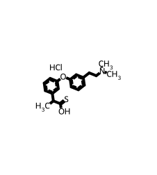 CC(C(O)=S)c1cccc(Oc2cccc(CCN(C)C)c2)c1.Cl